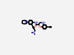 C#Cc1ccc2c(c1)NCC(C(=O)Nc1ccc(N3C4CCC3CC4)cc1C#CCN(C)C)O2